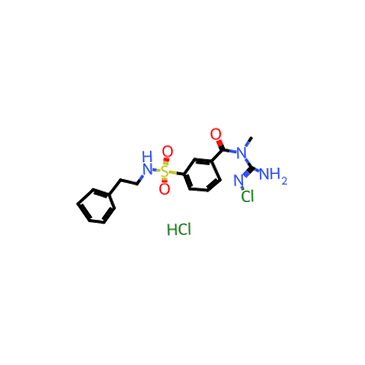 CN(C(=O)c1cccc(S(=O)(=O)NCCc2ccccc2)c1)C(N)=NCl.Cl